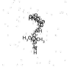 Cc1nc(OCC2CNC2)c(C)c2c1CC(CNCCC1CN(c3ccc4c(n3)NC(=O)CO4)C(=O)O1)C2